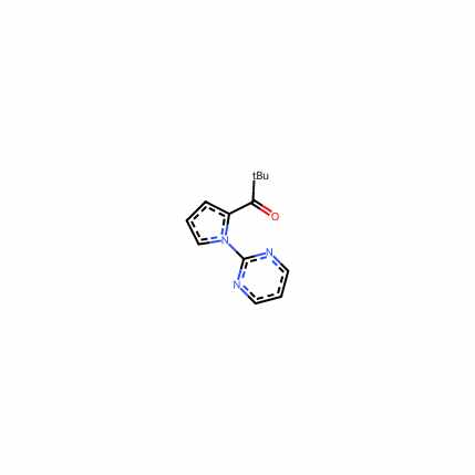 CC(C)(C)C(=O)c1cccn1-c1ncccn1